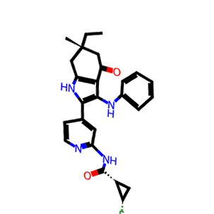 CC[C@]1(C)CC(=O)c2c([nH]c(-c3ccnc(NC(=O)[C@@H]4C[C@@H]4F)c3)c2Nc2ccccc2)C1